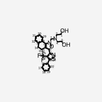 OCCN(CCO)CN1OC(c2noc(-c3ccccc3)c2C(F)(F)F)C2=C1c1ccccc1CC2